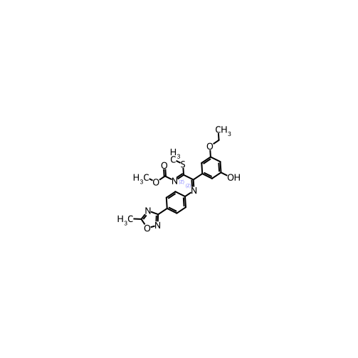 CCOc1cc(O)cc(C(=N/c2ccc(-c3noc(C)n3)cc2)/C(=N/C(=O)OC)SC)c1